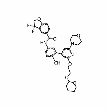 Cc1ccc(NC(=O)c2ccc3c(c2)C(F)(F)CO3)cc1-c1cc(OCCOC2CCCCO2)nc(N2CCOCC2)c1